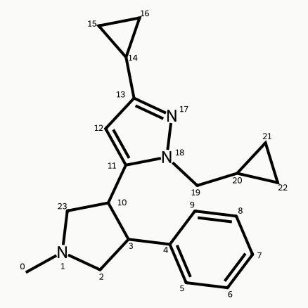 CN1CC(c2ccccc2)C(c2cc(C3CC3)nn2CC2CC2)C1